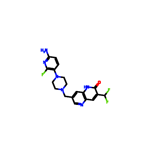 Nc1ccc(N2CCN(Cc3cnc4cc(C(F)F)c(=O)[nH]c4c3)CC2)c(F)n1